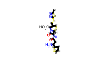 Cc1nnc(SCC2=C(C(=O)O)N3C(=O)C(NC(=O)CC(N)c4cccs4)[C@@H]3SC2)s1